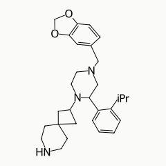 CC(C)c1ccccc1C1CN(Cc2ccc3c(c2)OCO3)CCN1C1CC2(CCNCC2)C1